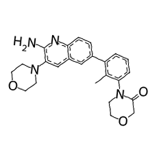 Cc1c(-c2ccc3nc(N)c(N4CCOCC4)cc3c2)cccc1N1CCOCC1=O